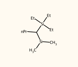 CCCC([Si](C)C)[Si](CC)(CC)CC